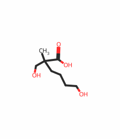 CC(CO)(CCCCO)C(=O)O